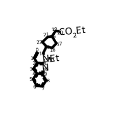 C=Cc1cc2ccccc2nc1N(CC)CC1CCC(CC(=O)OCC)CC1